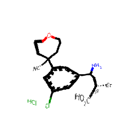 CC[C@H](C(=O)O)C(N)c1cc(Cl)cc(C2(C#N)CCOCC2)c1.Cl